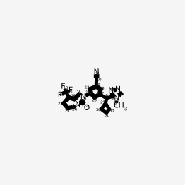 Cn1cnnc1C(c1cc(C#N)cc(-n2cc3c(C(F)(F)F)cccn3c2=O)c1)C1CCC1